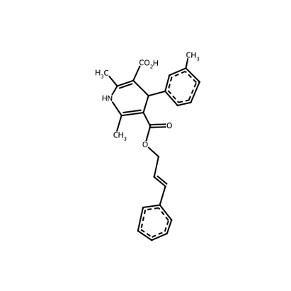 CC1=C(C(=O)O)C(c2cccc(C)c2)C(C(=O)OC/C=C/c2ccccc2)=C(C)N1